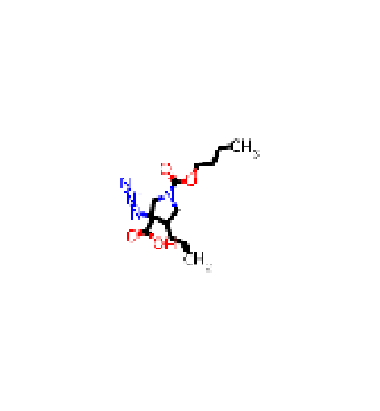 C=CCC1CN(C(=O)OCCCC)CC1(N=[N+]=[N-])C(=O)O